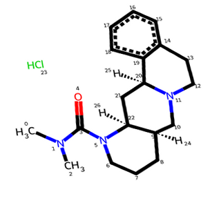 CN(C)C(=O)N1CCC[C@@H]2CN3CCc4ccccc4[C@@H]3C[C@@H]21.Cl